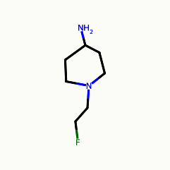 NC1CCN(CCF)CC1